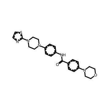 O=C(Nc1ccc(N2CCN(c3nccs3)CC2)cc1)c1ccc(N2CCOCC2)cc1